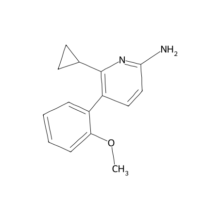 COc1ccccc1-c1ccc(N)nc1C1CC1